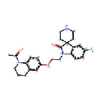 CC(=O)N1CCCc2cc(OCCN3C(=O)C4(CCNCC4)c4cc(Cl)ccc43)ccc21